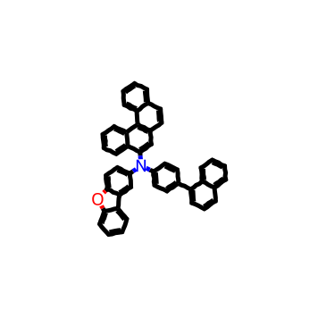 c1ccc2c(-c3ccc(N(c4ccc5oc6ccccc6c5c4)c4cc5ccc6ccccc6c5c5ccccc45)cc3)cccc2c1